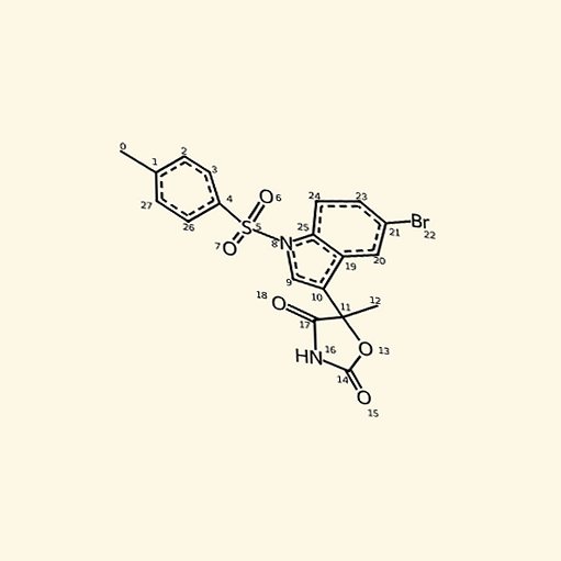 Cc1ccc(S(=O)(=O)n2cc(C3(C)OC(=O)NC3=O)c3cc(Br)ccc32)cc1